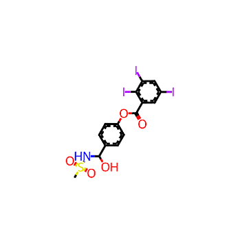 CS(=O)(=O)NC(O)c1ccc(OC(=O)c2cc(I)cc(I)c2I)cc1